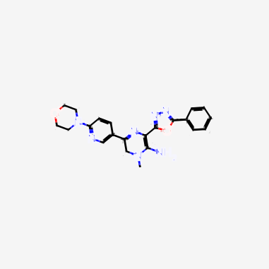 CN1CC(c2ccc(N3CCOCC3)nc2)=NC(c2nnc(-c3ccccc3)o2)=C1N